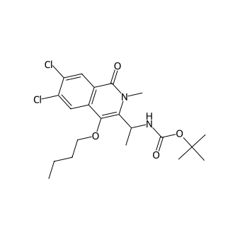 CCCCOc1c(C(C)NC(=O)OC(C)(C)C)n(C)c(=O)c2cc(Cl)c(Cl)cc12